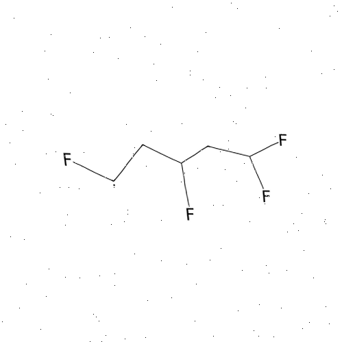 F[CH]CC(F)CC(F)F